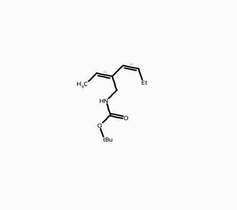 C/C=C(/C=C\CC)CNC(=O)OC(C)(C)C